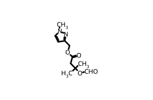 Cn1ccc(COC(=O)CC(C)(C)OC=O)n1